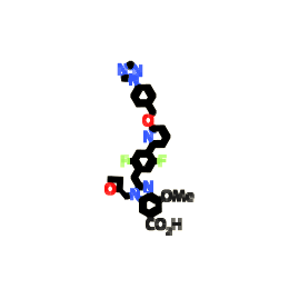 COc1cc(C(=O)O)cc2c1nc(Cc1cc(F)c(-c3cccc(OCc4ccc(-n5cncn5)cc4)n3)cc1F)n2C[C@@H]1CCO1